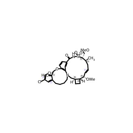 C=C1COc2ccc3cc2N(CCCC/C1=C/C(Cl)=C\C)C[C@@H]1CC[C@H]1[C@@H](OC)/C=C/C[C@H](C)[C@@H](COC)S(=O)(=O)NC3=O